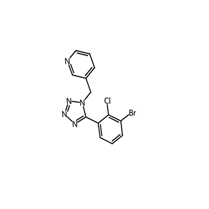 Clc1c(Br)cccc1-c1nnnn1Cc1cccnc1